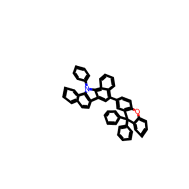 c1ccc(-n2c3c4ccccc4ccc3c3cc(-c4ccc5c(c4)C(c4ccccc4)(c4ccccc4)c4ccccc4O5)c4ccccc4c32)cc1